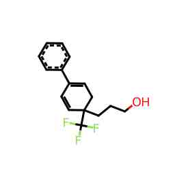 OCCCC1(C(F)(F)F)C=CC(c2ccccc2)=CC1